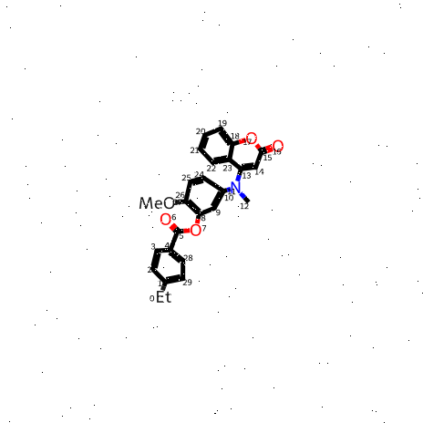 CCc1ccc(C(=O)Oc2cc(N(C)c3cc(=O)oc4ccccc34)ccc2OC)cc1